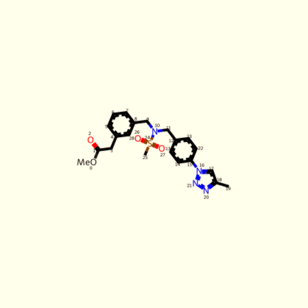 COC(=O)Cc1cccc(CN(Cc2ccc(-n3cc(C)nn3)cc2)S(C)(=O)=O)c1